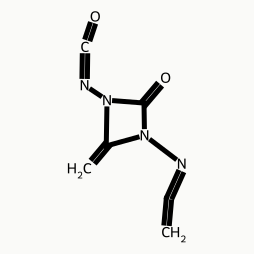 C=C=NN1C(=C)N(N=C=O)C1=O